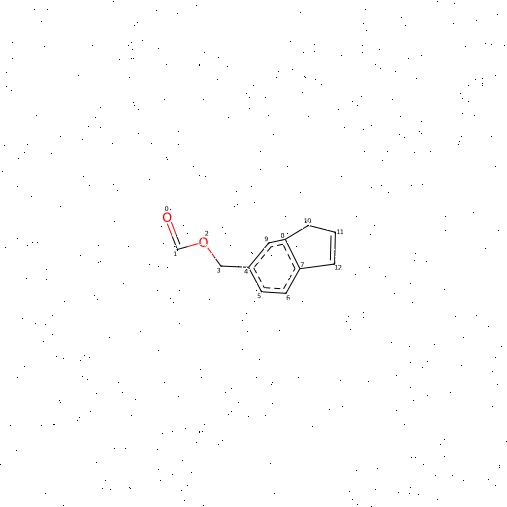 O=COCc1ccc2c(c1)CC=C2